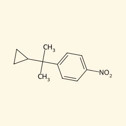 CC(C)(c1ccc([N+](=O)[O-])cc1)C1CC1